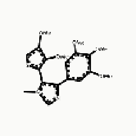 COc1cc(-c2ncn(C)c2-c2scc(OC)c2OC)cc(OC)c1OC